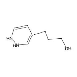 OCCCC1=CNNC=C1